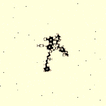 COc1c(OCCCNCCCc2ccccc2)cccc1[C@H]1O[C@H](CC(=O)N2CCC(OC(C)=O)CC2)C(=O)N(CC(C)(C)C)c2ccc(Cl)cc21.Cl